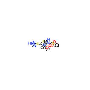 Cc1nc(SCC2=C(C(=O)O)N3C(=O)C(NC(=O)CS(=O)(=O)c4ccccc4)[C@H]3SC2)n[nH]1